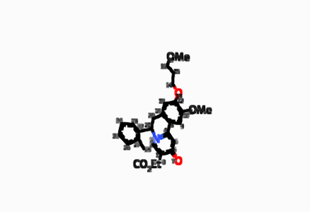 CCOC(=O)c1cn2c(cc1=O)-c1cc(OC)c(OCCCOC)cc1CC2c1ccccc1C